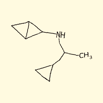 CC(NC1C2CC21)C1CC1